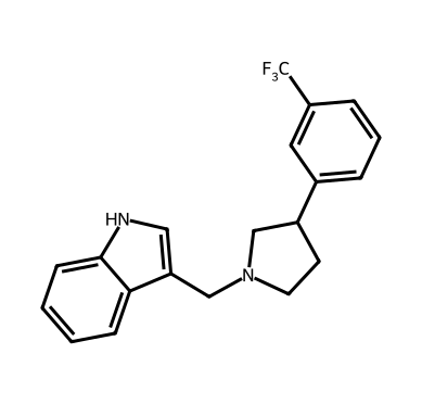 FC(F)(F)c1cccc(C2CCN(Cc3c[nH]c4ccccc34)C2)c1